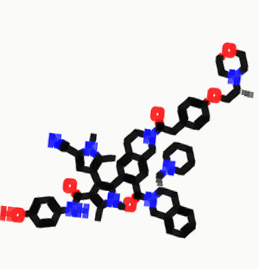 Cc1c(-c2c(C(=O)Nc3ccc(O)cc3)c(C)n(C)c2-c2cc3c(cc2C(=O)N2Cc4ccccc4C[C@H]2CN2CCCCC2)CN(C(=O)Cc2ccc(OC[C@@H](C)N4CCOCC4)cc2)CC3)cc(C#N)n1C